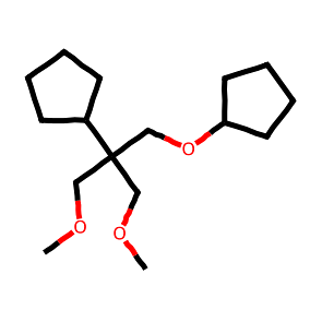 COCC(COC)(COC1CCCC1)C1CCCC1